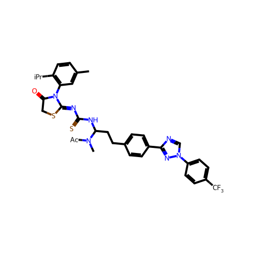 CC(=O)N(C)C(CCc1ccc(-c2ncn(-c3ccc(C(F)(F)F)cc3)n2)cc1)NC(=S)/N=C1\SCC(=O)N1c1cc(C)ccc1C(C)C